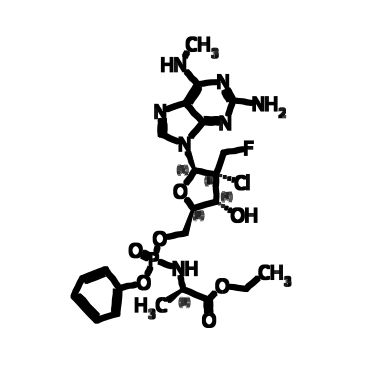 CCOC(=O)[C@@H](C)NP(=O)(OC[C@H]1O[C@@H](n2cnc3c(NC)nc(N)nc32)[C@@](Cl)(CF)[C@@H]1O)Oc1ccccc1